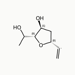 C=[C][C@H]1C[C@H](O)[C@@H](C(C)O)O1